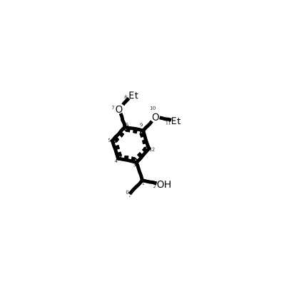 [CH2]C(O)c1ccc(OCC)c(OCC)c1